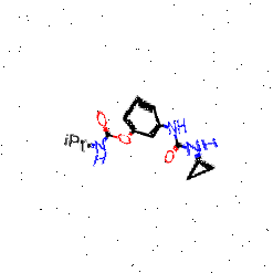 CC(C)NC(=O)Oc1cccc(NC(=O)NC2CC2)c1